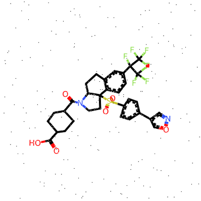 O=C(O)C1CCC(C(=O)N2CCC3(S(=O)(=O)c4ccc(-c5cnoc5)cc4)c4ccc(C(F)(C(F)(F)F)C(F)(F)F)cc4CCC23)CC1